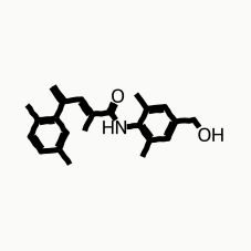 C=C(/C=C(\C)C(=O)Nc1c(C)cc(CO)cc1C)c1cc(C)ccc1C